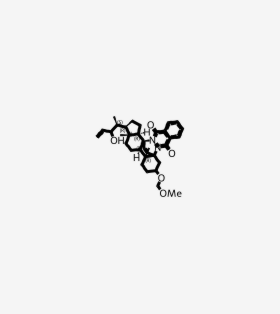 C=CC(O)[C@@H](C)[C@H]1CC[C@@H]2[C@]1(C)CC[C@H]1[C@@]23C=CC2(CC(OCOC)CC[C@]12C)n1c(=O)c2ccccc2c(=O)n13